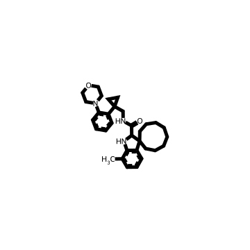 Cc1cccc2c1NC(C(=O)NCC1(c3ccccc3N3CCOCC3)CC1)C21CCCCCCCC1